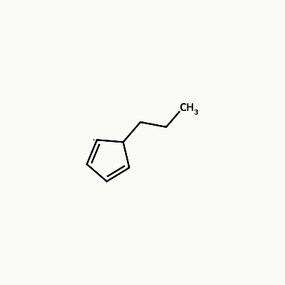 CCCC1[C]=CC=C1